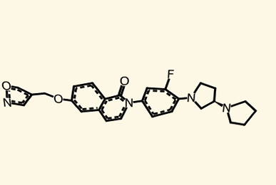 O=c1c2ccc(OCc3cnoc3)cc2ccn1-c1ccc(N2CC[C@@H](N3CCCC3)C2)c(F)c1